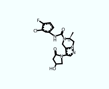 C[C@H]1Cn2ncc(N3CC(O)CC3=O)c2CN1C(=O)Nc1ccc(F)c(Cl)c1